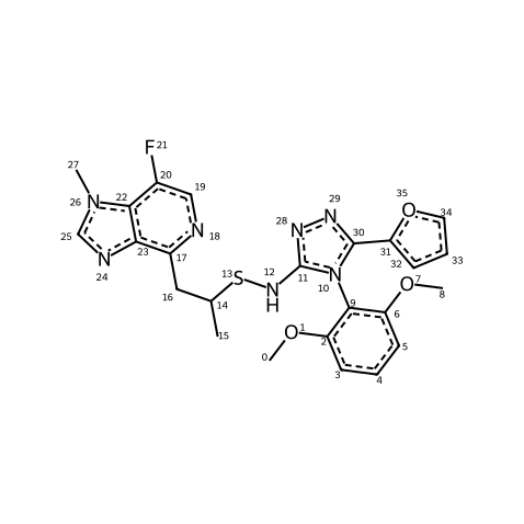 COc1cccc(OC)c1-n1c(NSC(C)Cc2ncc(F)c3c2ncn3C)nnc1-c1ccco1